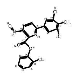 Cc1c(Cl)cc(-c2ccc(N=O)c(C(=O)Oc3ccccc3Cl)n2)cc1Cl